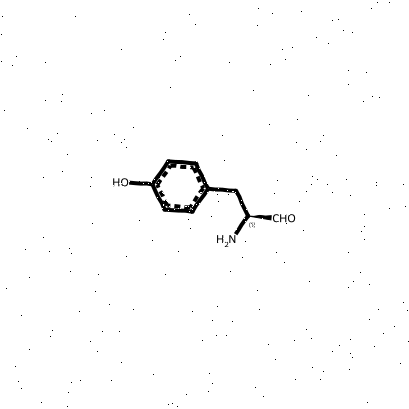 N[C@H](C=O)Cc1ccc(O)cc1